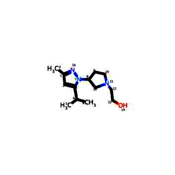 Cc1cc(C(C)C)n(C2CCN(CCO)C2)n1